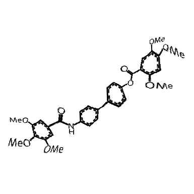 COc1cc(OC)c(C(=O)Oc2ccc(-c3ccc(NC(=O)c4cc(OC)c(OC)c(OC)c4)cc3)cc2)cc1OC